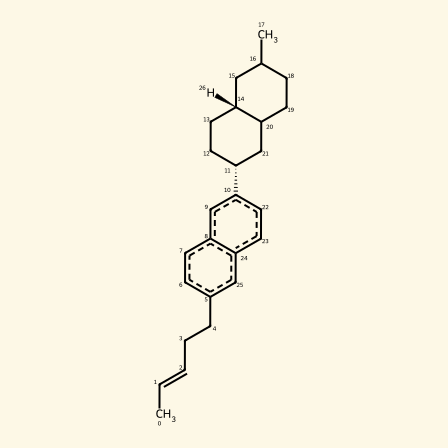 C/C=C/CCc1ccc2cc([C@@H]3CC[C@@H]4CC(C)CCC4C3)ccc2c1